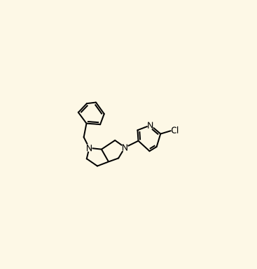 Clc1ccc(N2CC3CCN(Cc4ccccc4)C3C2)cn1